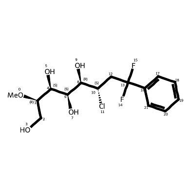 CO[C@H](CO)[C@@H](O)[C@H](O)[C@@H](O)[C@@H](Cl)CC(F)(F)c1ccccc1